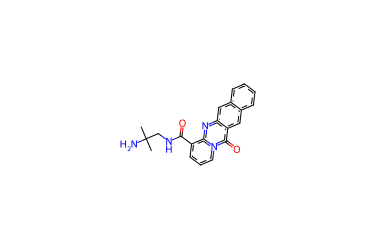 CC(C)(N)CNC(=O)c1cccn2c(=O)c3cc4ccccc4cc3nc12